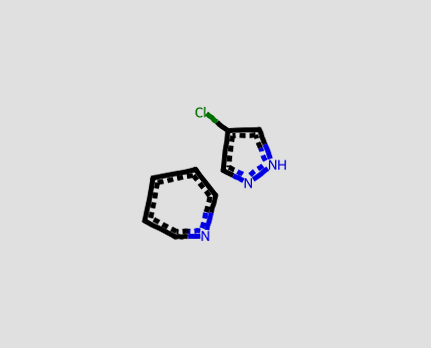 Clc1cn[nH]c1.c1ccncc1